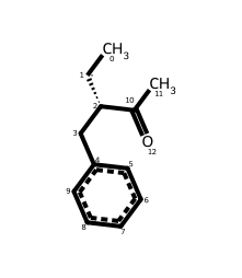 C[CH][C@@H](Cc1ccccc1)C(C)=O